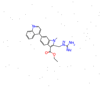 CCOC(=O)c1c(CNC(=N)N)n(C)c2cc(-c3ccnc4ccccc34)ccc12